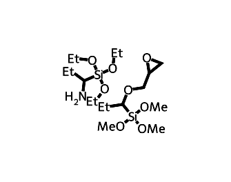 CCC(OCC1CO1)[Si](OC)(OC)OC.CCO[Si](OCC)(OCC)C(N)CC